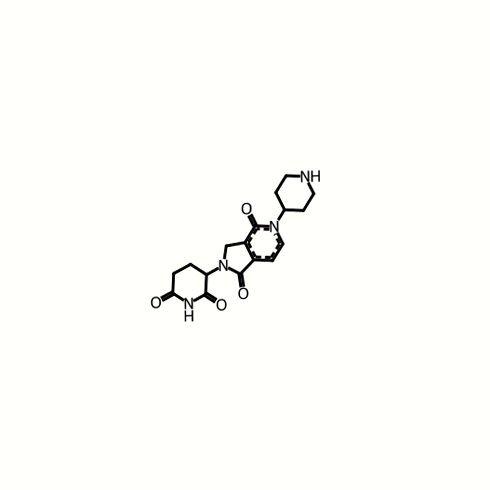 O=C1CCC(N2Cc3c(ccn(C4CCNCC4)c3=O)C2=O)C(=O)N1